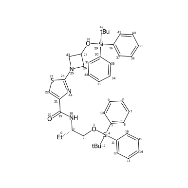 CC[C@@H](CO[Si](c1ccccc1)(c1ccccc1)C(C)(C)C)NC(=O)c1csc(N2CC(O[Si](c3ccccc3)(c3ccccc3)C(C)(C)C)C2)n1